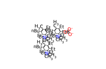 CCCCC1=C(C)C(CC)=C(CC)C(CC)([N+](C)(C)CC)C1CC.CCCCC1=C(C)C(CC)=C(CC)C(CC)([N+](C)(C)CC)C1CC.CCCCC1=C(C)C(CC)=C(CC)C(CC)([N+](C)(C)CC)C1CC.[O-]B([O-])[O-]